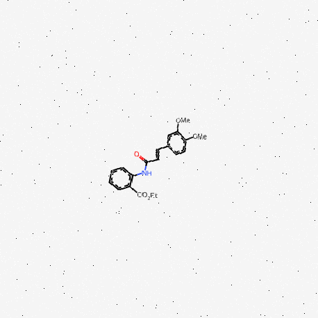 CCOC(=O)c1ccccc1NC(=O)/C=C/c1ccc(OC)c(OC)c1